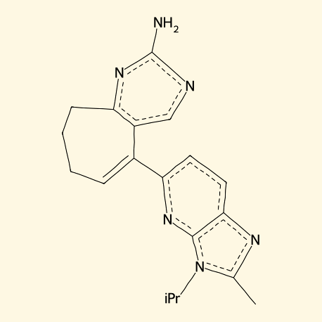 Cc1nc2ccc(C3=CCCCc4nc(N)ncc43)nc2n1C(C)C